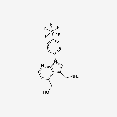 NCc1nn(-c2ccc(S(F)(F)(F)(F)F)cc2)c2nccc(CO)c12